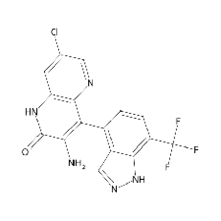 Nc1c(-c2ccc(C(F)(F)F)c3[nH]ncc23)c2ncc(Cl)cc2[nH]c1=O